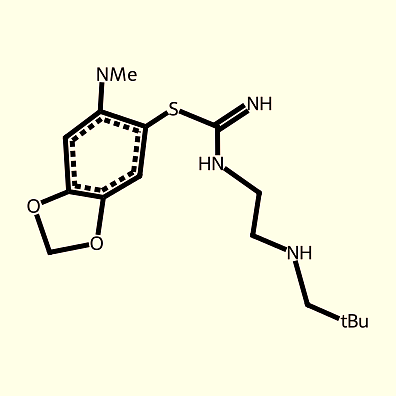 CNc1cc2c(cc1SC(=N)NCCNCC(C)(C)C)OCO2